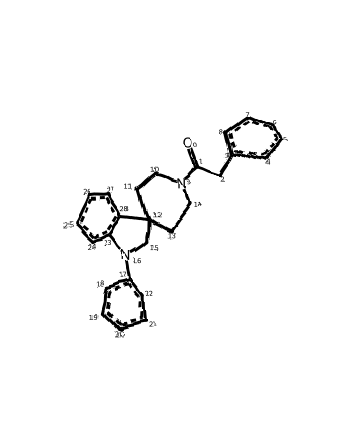 O=C(Cc1ccccc1)N1CCC2(CC1)CN(c1ccccc1)c1ccccc12